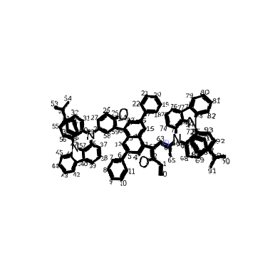 C=Cc1oc2c(-c3ccccc3)cc3c(cc(-c4ccccc4)c4oc5ccc(N(c6ccccc6)c6cccc7c8ccccc8n(-c8ccc(C(C)C)cc8)c67)cc5c43)c2c1/C=C(\C)N(c1ccccc1)c1cccc2c3ccccc3n(-c3ccc(C(C)C)cc3)c12